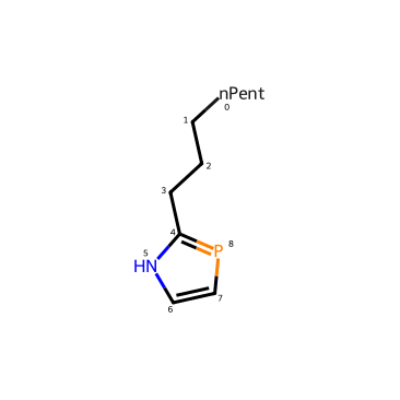 CCCCCCCCc1[nH]ccp1